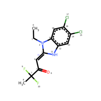 CCN1/C(=C/C(=O)C(C)(F)F)Nc2cc(Cl)c(Cl)cc21